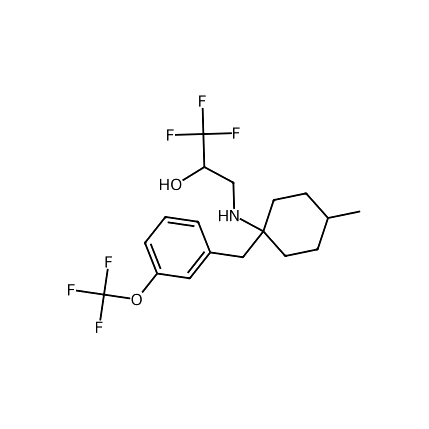 CC1CCC(Cc2cccc(OC(F)(F)F)c2)(NCC(O)C(F)(F)F)CC1